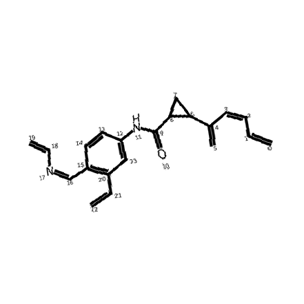 C=C/C=C\C(=C)C1CC1C(=O)Nc1ccc(/C=N\C=C)c(C=C)c1